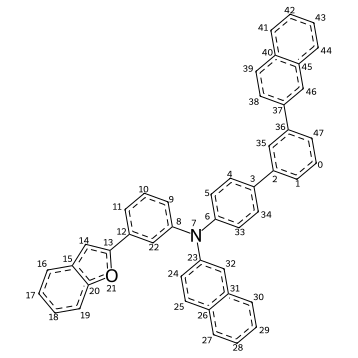 c1cc(-c2ccc(N(c3cccc(-c4cc5ccccc5o4)c3)c3ccc4ccccc4c3)cc2)cc(-c2ccc3ccccc3c2)c1